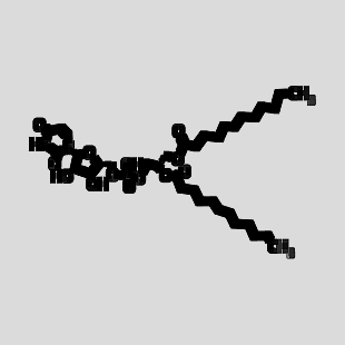 CCCCCCCCCCCC(=O)OC[C@@H](COP(=O)(O)OC[C@H]1O[C@@H](n2ccc(=O)[nH]c2=O)[C@@H](O)C1O)OC(=O)CCCCCCCCCCC